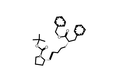 CC(C)(C)OC(=O)N1CCC[C@H]1C=CCCC[C@@H](Cc1ccccc1)C(=O)OCc1ccccc1